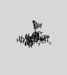 C=CCOc1ccccc1C1C(C(=O)O)=C(C)NC(C)=C1C(=O)O.CC1=C(C(=O)OCCCCCCNCC(O)COc2ccccc2)C(c2ccccc2OC(C)C)C(C(=O)OCCCCCC(C)NCC(O)COc2ccccc2)=C(C)N1C.Cl.Cl